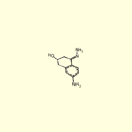 NN=C1CC(O)Cc2cc(N)ccc21